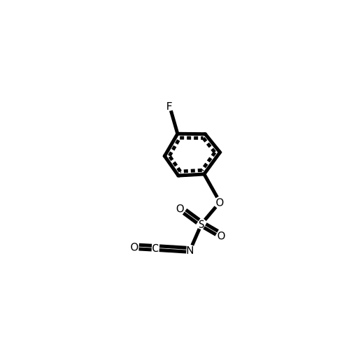 O=C=NS(=O)(=O)Oc1ccc(F)cc1